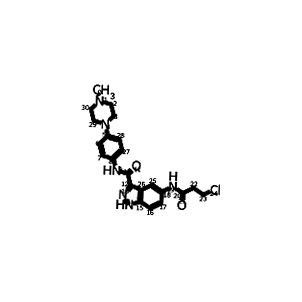 CN1CCN(c2ccc(NC(=O)c3n[nH]c4ccc(NC(=O)CCCl)cc34)cc2)CC1